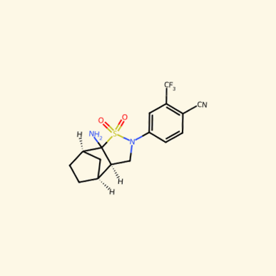 N#Cc1ccc(N2C[C@H]3[C@H]4CC[C@H](C4)C3(N)S2(=O)=O)cc1C(F)(F)F